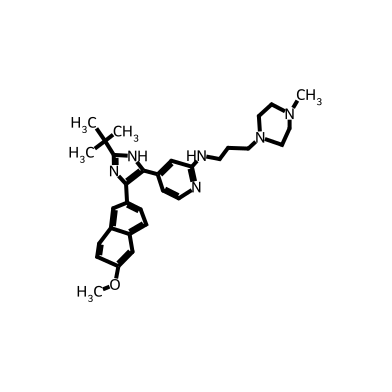 COc1ccc2cc(-c3nc(C(C)(C)C)[nH]c3-c3ccnc(NCCCN4CCN(C)CC4)c3)ccc2c1